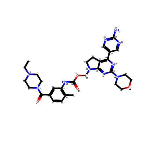 CCN1CCN(C(=O)c2ccc(C)c(NC(=O)OSN3CCc4c(-c5cnc(N)nc5)nc(N5CCOCC5)nc43)c2)CC1